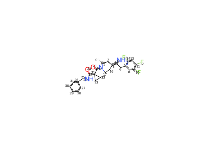 C[C@@H]1C[C@@H]([C@H](N)Cc2cc(F)c(F)cc2F)CCN1C(=O)C1(C(=O)NCc2ccccc2)CC1